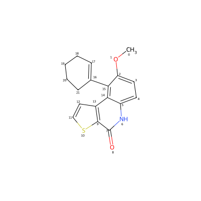 COc1ccc2[nH]c(=O)c3sccc3c2c1C1=CCCCC1